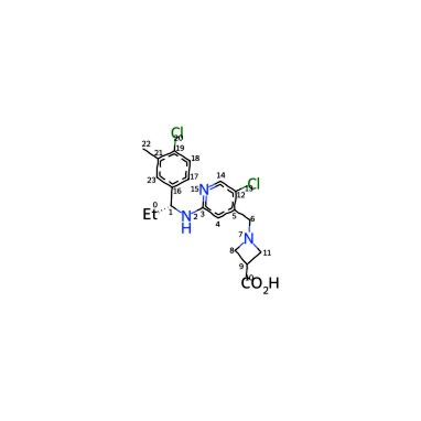 CC[C@@H](Nc1cc(CN2CC(C(=O)O)C2)c(Cl)cn1)c1ccc(Cl)c(C)c1